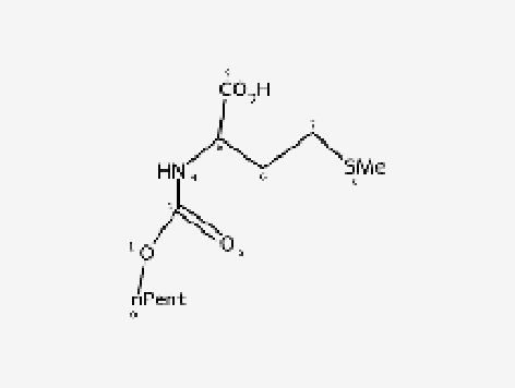 CCCCCOC(=O)NC(CCSC)C(=O)O